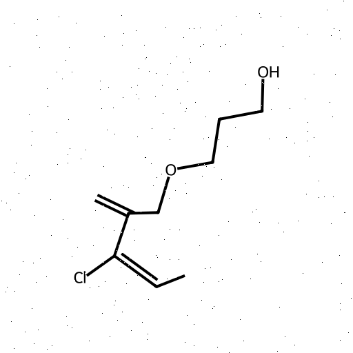 C=C(COCCCO)/C(Cl)=C\C